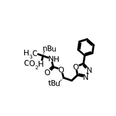 CCCC[C@](C)(NC(=O)O[C@H](Cc1nnc(-c2ccccc2)o1)C(C)(C)C)C(=O)O